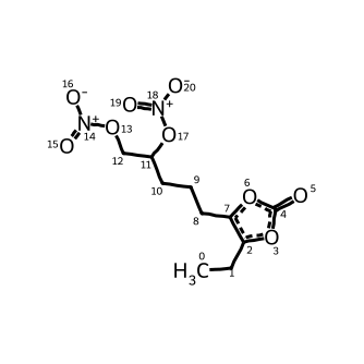 CCc1oc(=O)oc1CCCC(CO[N+](=O)[O-])O[N+](=O)[O-]